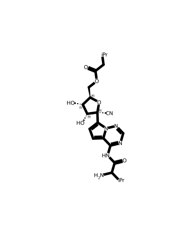 CC(C)CC(=O)OC[C@H]1O[C@@](C#N)(c2ccc3c(NC(=O)C(N)C(C)C)ncnn23)[C@H](O)[C@@H]1O